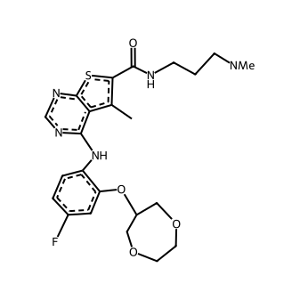 CNCCCNC(=O)c1sc2ncnc(Nc3ccc(F)cc3OC3COCCOC3)c2c1C